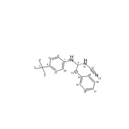 CC(C)(C)c1ccc(NC(NC#N)Oc2ccccc2)cc1